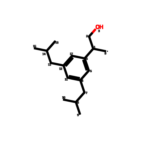 [CH2]C(CO)c1cc(CC(C)C)cc(CC(C)C)c1